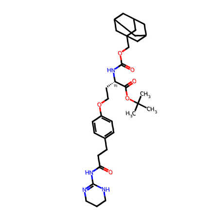 CC(C)(C)OC(=O)[C@H](CCOc1ccc(CCC(=O)NC2=NCCCN2)cc1)NC(=O)OCC12CC3CC(CC(C3)C1)C2